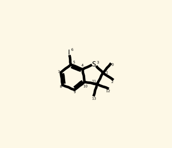 CC1(C)Sc2c(I)cccc2C1(C)C